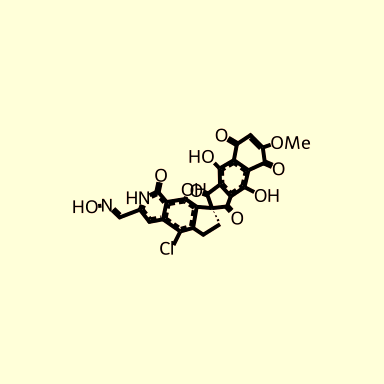 COC1=CC(=O)c2c(O)c3c(c(O)c2C1=O)C(=O)[C@]1(CCc2c1c(O)c1c(=O)[nH]c(C=NO)cc1c2Cl)C3=O